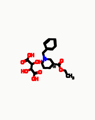 CCOC(=O)[C@H]1CCCN(Cc2ccccc2)C1.O=C(O)C(O)C(O)C(=O)O